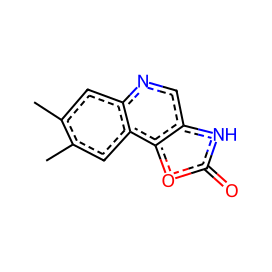 Cc1cc2ncc3[nH]c(=O)oc3c2cc1C